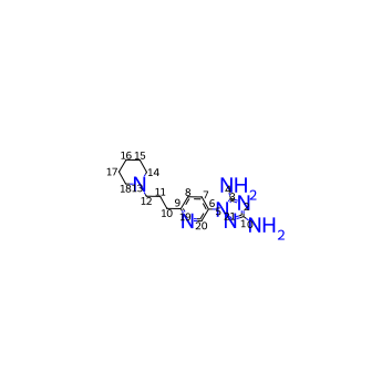 Nc1nc(N)n(-c2ccc(CCCN3CCCCC3)nc2)n1